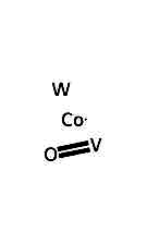 [Co].[O]=[V].[W]